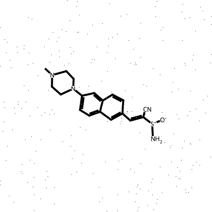 CN1CCN(c2ccc3cc(/C=C(\C#N)[S+](N)[O-])ccc3c2)CC1